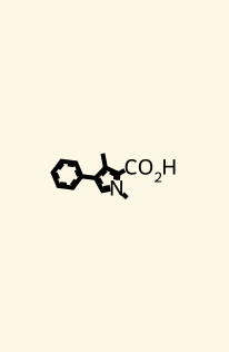 Cc1c(-c2ccccc2)cn(C)c1C(=O)O